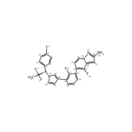 CC(F)(F)[C@@H](c1ccc(F)cc1)n1cc(-c2cccc(-c3ccn4nc(N)nc4c3F)c2F)cn1